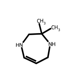 CC1(C)CNC=CCN1